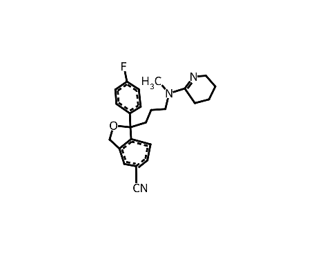 CN(CCCC1(c2ccc(F)cc2)OCc2cc(C#N)ccc21)C1=NCCCC1